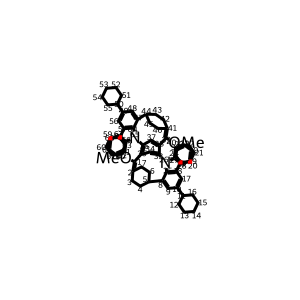 COC1=C2CCC(CC2)c2cc(C3CCCCC3)cc(C3CCCCC3)c2N(c2ccccc2)c2cc1c1cc2C(OC)=C2CCC(CC2)c2cc(C3CCCCC3)cc(C3CCCCC3)c2N1c1ccccc1